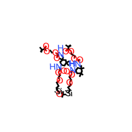 C=C(C)C(=O)OCCOC(=O)NCC1(C)CC(NC(=O)OCCOCCC[Si](C)(C)CC(C)(C)O[Si](C)(C)CCCOCCOC(=O)NC2CC(C)(C)CC(C)(CNC(=O)OCCOC(=O)C(=C)C)C2)CC(C)(C)C1